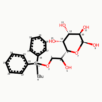 CC(C)(C)[Si](OCC(O)[C@H]1O[C@H](O)[C@H](O)[C@@H](O)[C@H]1O)(c1ccccc1)c1ccccc1